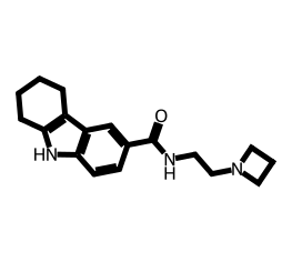 O=C(NCCN1CCC1)c1ccc2[nH]c3c(c2c1)CCCC3